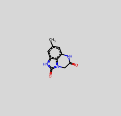 Cc1cc2c3c(c1)[nH]c(=O)n3CC(=O)N2